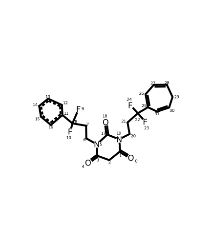 O=C1CC(=O)N(CCC(F)(F)c2ccccc2)C(=O)N1CCC(F)(F)C1=CC=CCC=C1